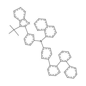 CC(C)(C)c1c(-c2cccc(N(c3ccc(-c4ccccc4-c4ccccc4-c4ccccc4)cc3)c3cccc4ccccc34)c2)oc2ccccc12